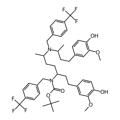 COc1cc(CCC(CCC(C)N(Cc2ccc(C(F)(F)F)cc2)C(C)CCc2ccc(O)c(OC)c2)N(Cc2ccc(C(F)(F)F)cc2)C(=O)OC(C)(C)C)ccc1O